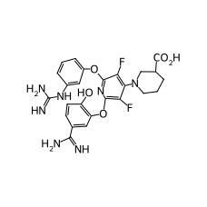 N=C(N)Nc1cccc(Oc2nc(Oc3cc(C(=N)N)ccc3O)c(F)c(N3CCCC(C(=O)O)C3)c2F)c1